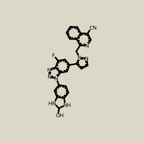 N#Cc1cnc(Cn2nccc2-c2cc(F)c3nnn(-c4ccc5c(c4)NC(O)N5)c3c2)c2ccccc12